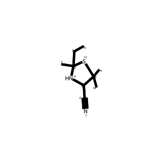 CCC1(C)NC(C#N)C(C)(C)S1